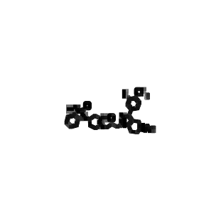 CC(=O)N1CCc2c(c(-c3ccc(C(F)(F)F)c(F)c3)nn2CC(O)CN2CCC(n3c(=O)[nH]c4ccccc43)CC2)C1